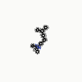 C[Si]1(C)c2ccccc2-c2nc(-c3ccc(-c4cccc(-c5ccc(-c6cc(-c7ccccc7)cc(-c7ccccc7)c6)cc5)c4)cc3)nc(-c3ccccc3)c21